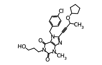 CC(C#Cc1nc2c(c(=O)n(CCCO)c(=O)n2C)n1Cc1ccc(Cl)cc1)OC1CCCC1